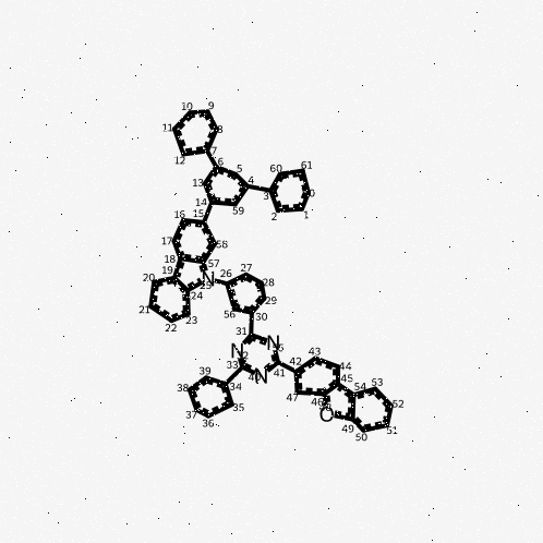 c1ccc(-c2cc(-c3ccccc3)cc(-c3ccc4c5ccccc5n(-c5cccc(-c6nc(-c7ccccc7)nc(-c7ccc8c(c7)oc7ccccc78)n6)c5)c4c3)c2)cc1